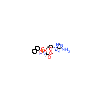 COC(=O)C(C)(C)NP(=O)(OC[C@@H]1CC[C@H](n2cnc3c(N)ncnc32)O1)Oc1cccc2ccccc12